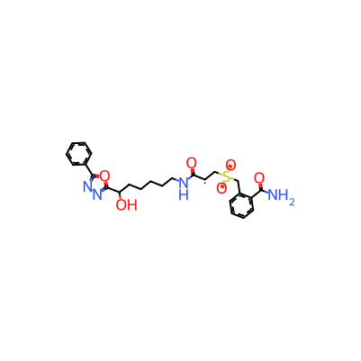 NC(=O)c1ccccc1CS(=O)(=O)C[CH]C(=O)NCCCCCC(O)c1nnc(-c2ccccc2)o1